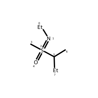 CCN=S(C)(=O)C(C)CC